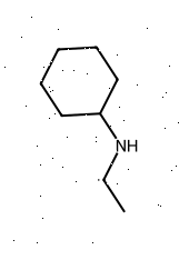 C[CH]NC1CCCCC1